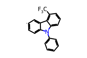 FC(F)(F)c1cccc2c1c1c[c]ccc1n2-c1ccccc1